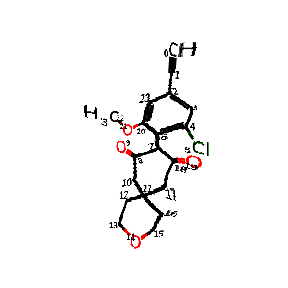 C#Cc1cc(Cl)c(C2C(=O)CC3(CCOCC3)CC2=O)c(OC)c1